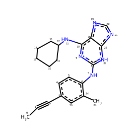 CC#Cc1ccc(Nc2nc(NC3CCCCC3)c3ncnc-3[nH]2)c(C)c1